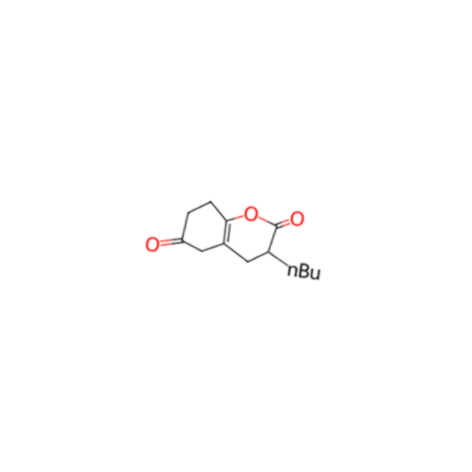 CCCCC1CC2=C(CCC(=O)C2)OC1=O